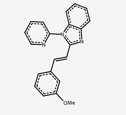 COc1cccc(/C=C/c2nc3ccccc3n2-c2ccccn2)c1